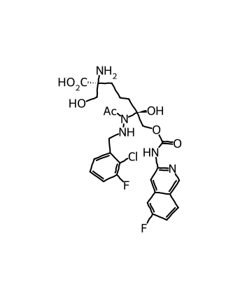 CC(=O)N(NCc1cccc(F)c1Cl)[C@](O)(CCC[C@](N)(CO)C(=O)O)COC(=O)Nc1cc2cc(F)ccc2cn1